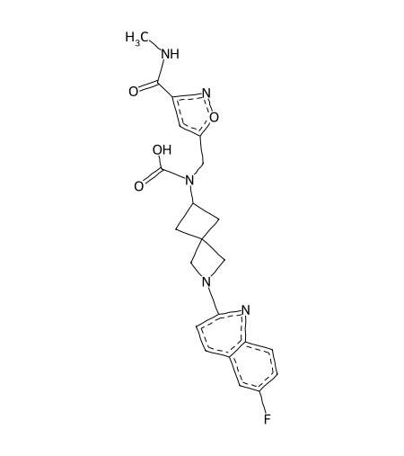 CNC(=O)c1cc(CN(C(=O)O)C2CC3(C2)CN(c2ccc4cc(F)ccc4n2)C3)on1